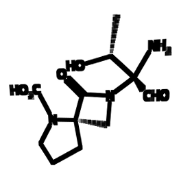 C[C@@H](O)[C@@](N)(C=O)N1C[C@@]2(CCCN2C(=O)O)C1=O